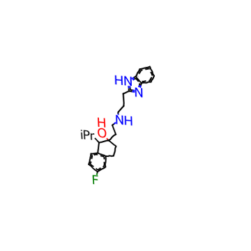 CC(C)C1c2ccc(F)cc2CCC1(O)CCNCCCc1nc2ccccc2[nH]1